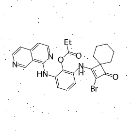 CCC(=O)Oc1c(NC2=C(Br)C(=O)C23CCCCC3)cccc1Nc1nccc2ccncc12